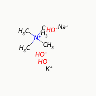 C[N+](C)(C)C.[K+].[Na+].[OH-].[OH-].[OH-]